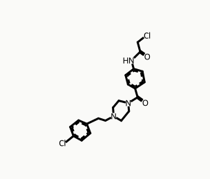 O=C(CCl)Nc1ccc(C(=O)N2CCN(CCc3ccc(Cl)cc3)CC2)cc1